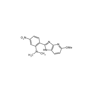 COc1ccc2[nH]c(-c3ccc([N+](=O)[O-])cc3N(C)C)nc2n1